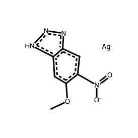 COc1cc2[nH]nnc2cc1[N+](=O)[O-].[Ag]